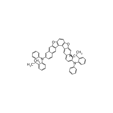 CC(C)c1ccccc1N(c1ccccc1)c1ccc2cc3c(cc2c1)oc1ccc2oc4cc5cc(N(c6ccccc6)c6ccccc6C(C)C)ccc5cc4c2c13